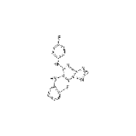 Fc1ccc(Nc2nc3nonc3nc2Nc2ccccc2F)cc1